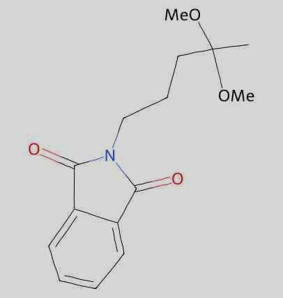 COC(C)(CCCN1C(=O)c2ccccc2C1=O)OC